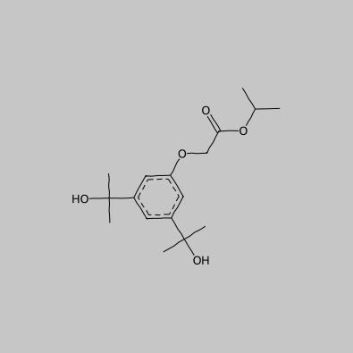 CC(C)OC(=O)COc1cc(C(C)(C)O)cc(C(C)(C)O)c1